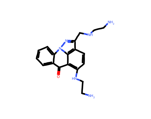 NCCNCc1nn2c3ccccc3c(=O)c3c(NCCN)ccc1c32